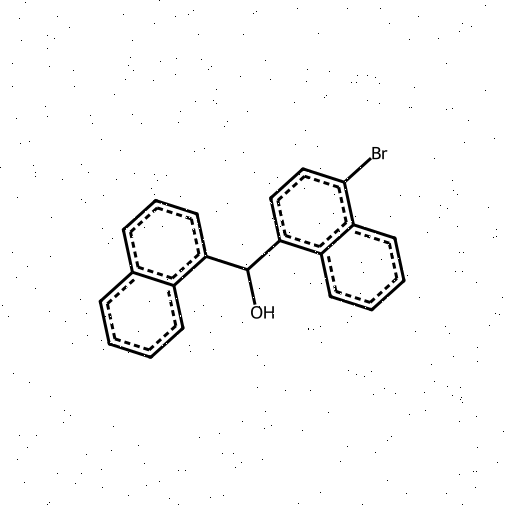 OC(c1cccc2ccccc12)c1ccc(Br)c2ccccc12